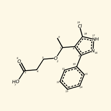 CC(OCCC(=O)O)c1c(-c2ccccc2)n[nH]c1Cl